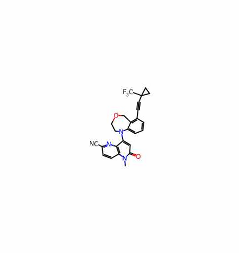 Cn1c(=O)cc(N2CCOCc3c(C#CC4(C(F)(F)F)CC4)cccc32)c2nc(C#N)ccc21